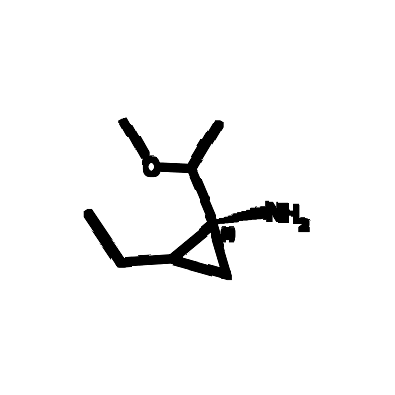 CCC1C[C@]1(N)C(C)OC